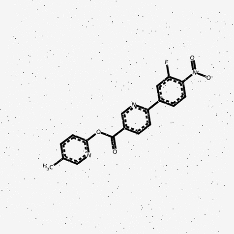 Cc1ccc(OC(=O)c2ccc(-c3ccc([N+](=O)[O-])c(F)c3)nc2)nc1